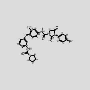 O=C(Nc1cc(Oc2ccc(NC(=O)N3CC(=O)N(c4ccc(F)cc4)C3=S)cc2F)ccn1)N1CCCC1